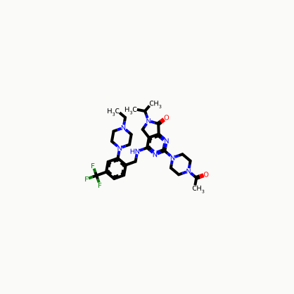 CCN1CCN(c2cc(C(F)(F)F)ccc2CNc2nc(N3CCN(C(C)=O)CC3)nc3c2CN(C(C)C)C3=O)CC1